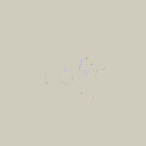 CC1CCc2nc(C3=NC(=O)C(C)(C(C)C)N3)c(OC(=O)O)cc2C1